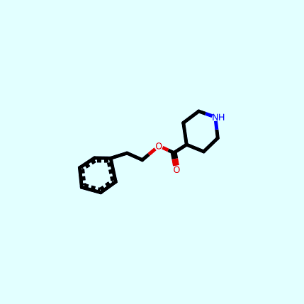 O=C(OCCc1ccccc1)C1CCNCC1